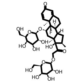 C[C@@H]1C[C@H]2[C@@H]3CCC4=CC(=O)C=C[C@]4(C)[C@@]3(F)[C@@H](O[C@@H]3O[C@H](CO)[C@H](O)[C@H](O)[C@H]3O)C[C@]2(C)[C@@]1(O)C(=O)CO[C@@H]1O[C@H](CO)[C@H](O)[C@H](O)[C@H]1O